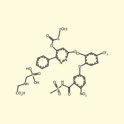 CCCCCCCCSC(=O)Oc1cc(Cl)nnc1-c1ccccc1.CS(=O)(=O)NC(=O)c1cc(Oc2ccc(C(F)(F)F)cc2Cl)ccc1[N+](=O)[O-].O=C(O)CNCP(=O)(O)O